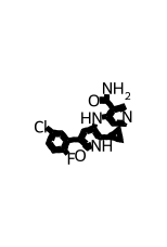 NC(=O)c1cnccc1Nc1cc(-c2cc(Cl)ccc2F)c(=O)[nH]c1C1CC1